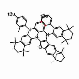 Cc1cc(C(C)(C)C)ccc1N1c2cc3c(cc2B2c4oc5cc6c(cc5c4N(c4cc5c(cc4-c4ccccc4)C(C)(C)CCC5(C)C)c4cc(C(C)(C)C)cc1c42)C1(C)CC[C@]6(C)C1)C(C)(C)CCC3(C)C